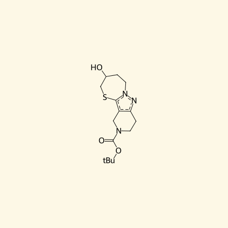 CC(C)(C)OC(=O)N1CCc2nn3c(c2C1)SCC(O)CC3